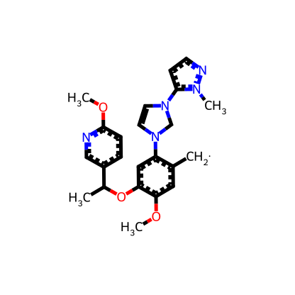 [CH2]c1cc(OC)c(OC(C)c2ccc(OC)nc2)cc1N1C=CN(c2ccnn2C)C1